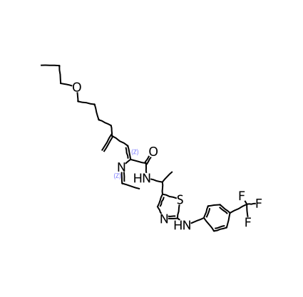 C=C(/C=C(\N=C/C)C(=O)NC(C)c1cnc(Nc2ccc(C(F)(F)F)cc2)s1)CCCCOCCC